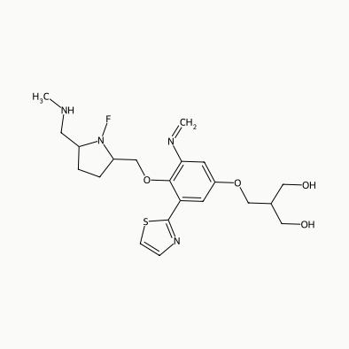 C=Nc1cc(OCC(CO)CO)cc(-c2nccs2)c1OCC1CCC(CNC)N1F